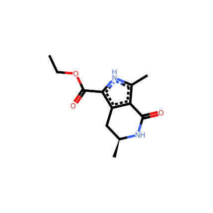 CCOC(=O)c1[nH]c(C)c2c1C[C@H](C)NC2=O